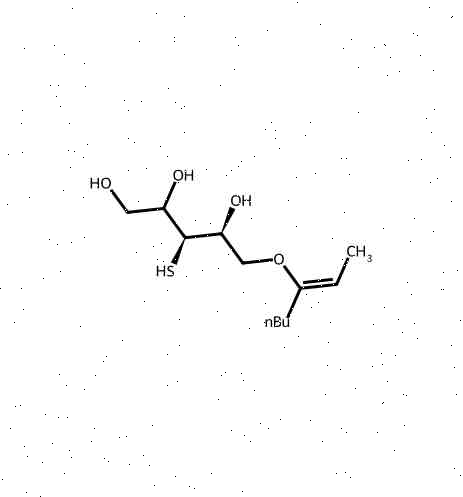 C/C=C(/CCCC)OC[C@H](O)[C@@H](S)C(O)CO